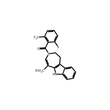 CCOC(=O)C1=CN(C(=O)c2c(F)cccc2C(F)(F)F)CCc2c1[nH]c1ccccc21